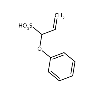 C=CC(Oc1ccccc1)S(=O)(=O)O